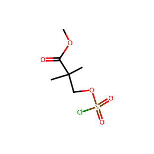 COC(=O)C(C)(C)COS(=O)(=O)Cl